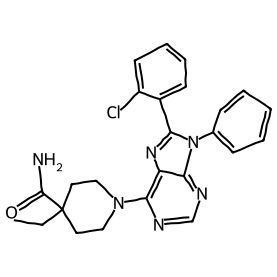 CCC1(C(N)=O)CCN(c2ncnc3c2nc(-c2ccccc2Cl)n3-c2ccccc2)CC1